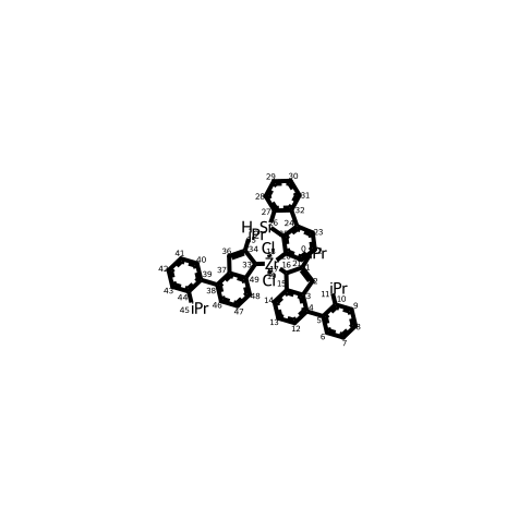 CC(C)C1=Cc2c(-c3ccccc3C(C)C)cccc2[CH]1[Zr]([Cl])([Cl])([c]1cccc2c1[SiH2]c1ccccc1-2)[CH]1C(C(C)C)=Cc2c(-c3ccccc3C(C)C)cccc21